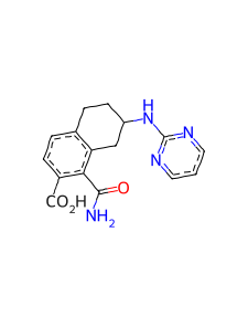 NC(=O)c1c(C(=O)O)ccc2c1CC(Nc1ncccn1)CC2